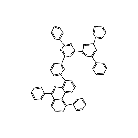 c1ccc(-c2cc(-c3ccccc3)cc(-c3nc(-c4ccccc4)nc(-c4cccc(-c5cccc6c5nc(-c5ccccc5)c5cccc(-c7ccccc7)c56)c4)n3)c2)cc1